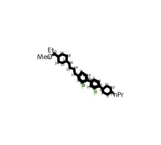 CCCC1CCC(c2ccc(-c3ccc(CCCCC4CCC(C(CC)OC)CC4)cc3F)cc2F)CC1